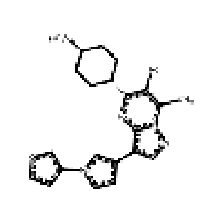 CC(=O)c1c(N)n2ncc(-c3ccn(-c4ccsc4)c3)c2nc1[C@H]1CC[C@H](C(=O)O)CC1